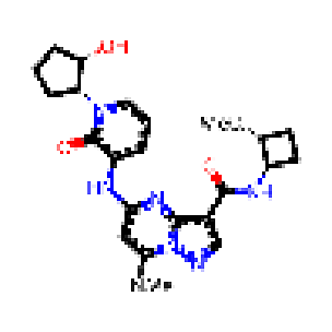 CNc1cc(Nc2cccn([C@@H]3CCC[C@@H]3O)c2=O)nc2c(C(=O)N[C@@H]3CC[C@H]3OC)cnn12